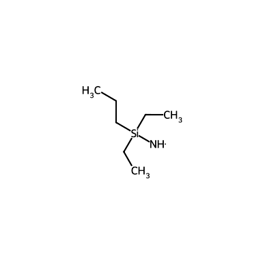 CCC[Si]([NH])(CC)CC